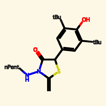 C=C1SC(c2cc(C(C)(C)C)c(O)c(C(C)(C)C)c2)C(=O)N1NCCCCC